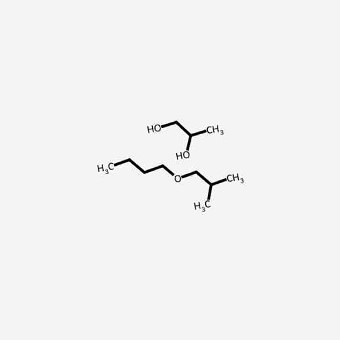 CC(O)CO.CCCCOCC(C)C